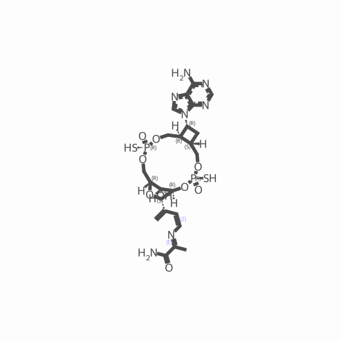 C=C(/C=C\N=C(/C)C(N)=O)[C@@H]1O[C@@H]2CO[P@](=O)(S)OC[C@@H]3[C@@H](CO[P@@](=O)(S)O[C@@H]1[C@@H]2O)C[C@H]3n1cnc2c(N)ncnc21